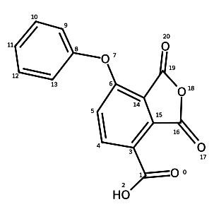 O=C(O)c1ccc(Oc2ccccc2)c2c1C(=O)OC2=O